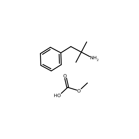 CC(C)(N)Cc1ccccc1.COC(=O)O